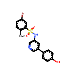 COc1ccc(Br)cc1S(=O)(=O)Nc1cncc(-c2ccc(O)cc2)c1